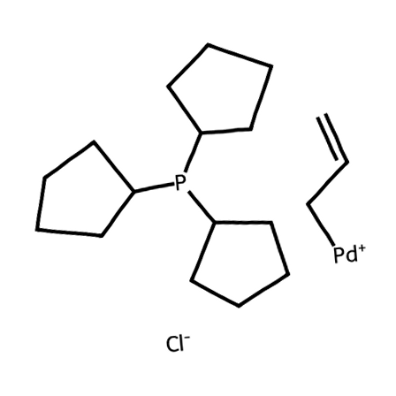 C1CCC(P(C2CCCC2)C2CCCC2)C1.C=C[CH2][Pd+].[Cl-]